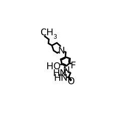 CCCCC1CCN(Cc2cc(O)c(N3CC(=O)NN3)c(F)c2)CC1